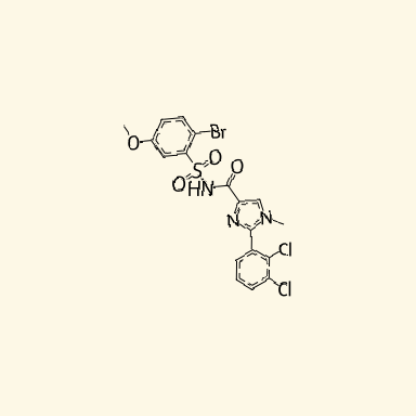 COc1ccc(Br)c(S(=O)(=O)NC(=O)c2cn(C)c(-c3cccc(Cl)c3Cl)n2)c1